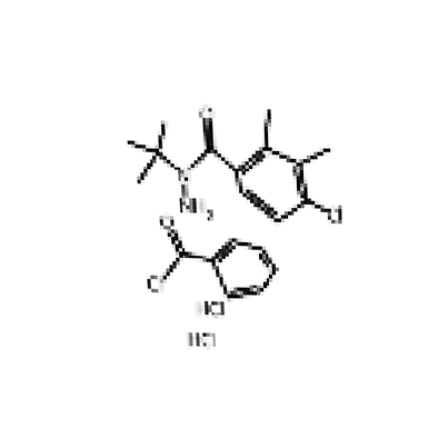 Cc1c(Cl)ccc(C(=O)N(N)C(C)(C)C)c1C.Cl.Cl.O=C(Cl)c1ccccc1